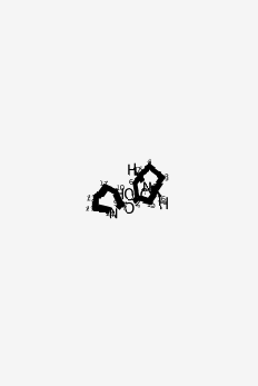 O=C(O)N1[C@@H]2CC[C@H]1CC(Oc1ccccn1)C2